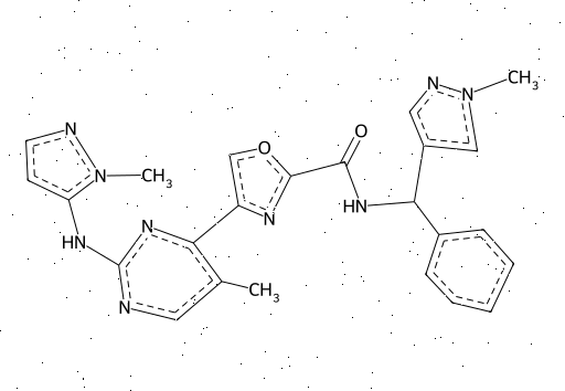 Cc1cnc(Nc2ccnn2C)nc1-c1coc(C(=O)NC(c2ccccc2)c2cnn(C)c2)n1